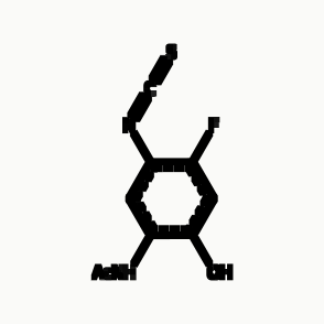 CC(=O)Nc1cc(N=C=S)c(F)cc1O